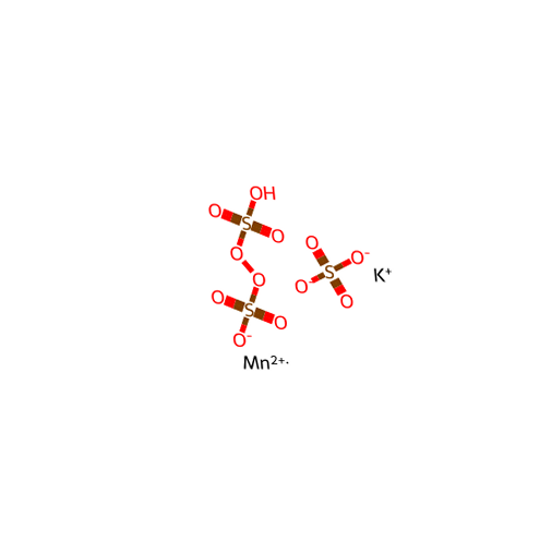 O=S(=O)([O-])OOS(=O)(=O)O.O=S(=O)([O-])[O-].[K+].[Mn+2]